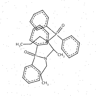 CCCN(C(C)N(CCC)P(=O)(c1ccccc1)c1ccccc1)P(=O)(c1ccccc1)c1ccccc1